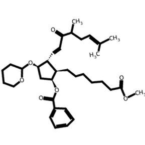 COC(=O)CCCCCC[C@@H]1[C@@H](/C=C/C(=O)C(C)CC=C(C)C)[C@H](OC2CCCCO2)C[C@@H]1OC(=O)c1ccccc1